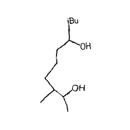 CCC(C)C(O)CCCC(C)C(C)O